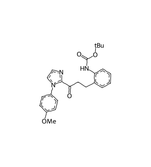 COc1ccc(-n2ccnc2C(=O)CCc2ccccc2NC(=O)OC(C)(C)C)cc1